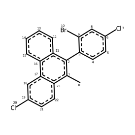 Cc1c(-c2ccc(Cl)cc2Br)c2ccccc2c2cc(Cl)ccc12